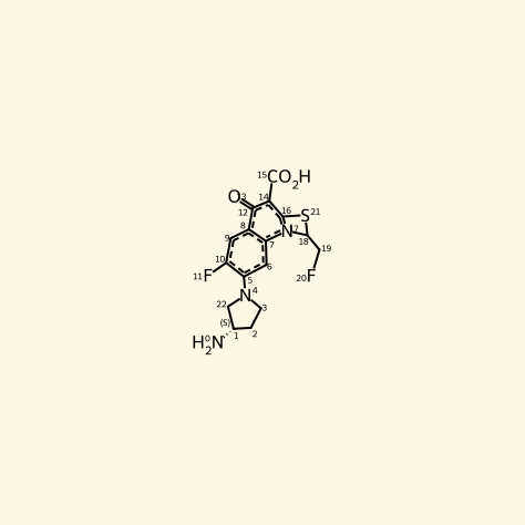 N[C@H]1CCN(c2cc3c(cc2F)c(=O)c(C(=O)O)c2n3C(CF)S2)C1